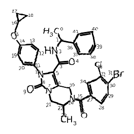 CC(NC(=O)c1c2n(c(=O)n1-c1ccc(OC3CC3)cc1)CC(C)N(C(=O)c1ccc(Br)c(Cl)c1)C2)c1ccccc1